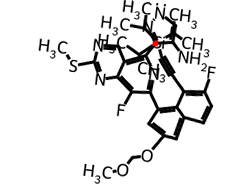 COCOc1cc(-c2nc(-c3n[nH]cc3N)c3cnc(SC)nc3c2F)c2c(C#C[Si](C(C)C)(C(C)C)C(C)C)c(F)ccc2c1